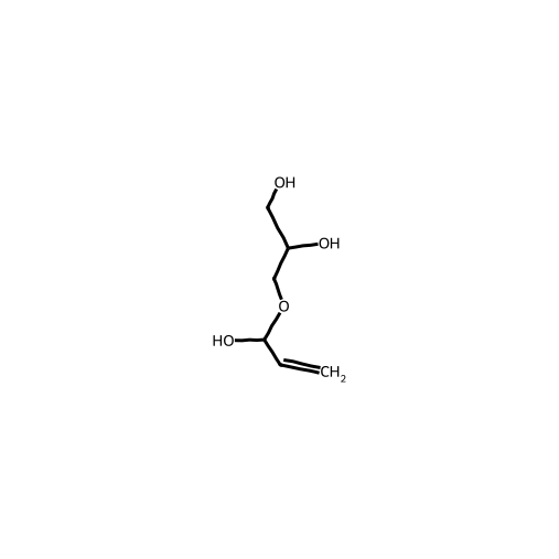 C=CC(O)OCC(O)CO